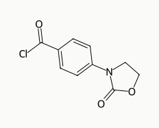 O=C(Cl)c1ccc(N2CCOC2=O)cc1